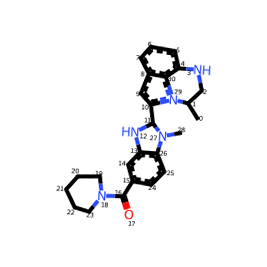 CC1CNc2cccc3cc(C4Nc5cc(C(=O)N6CCCCC6)ccc5N4C)n1c23